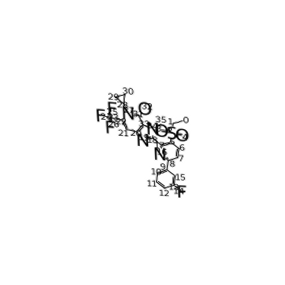 CCS(=O)(=O)c1ccc(-c2cccc(F)c2)nc1-c1nc2cc(C(F)(F)F)n(C3CC3)c(=O)c2n1C